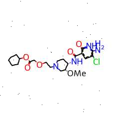 CO[C@@H]1CN(CCOCC(=O)OC2CCCCC2)CC[C@@H]1NC(=O)c1cc(Cl)c(N)[nH]c1=O